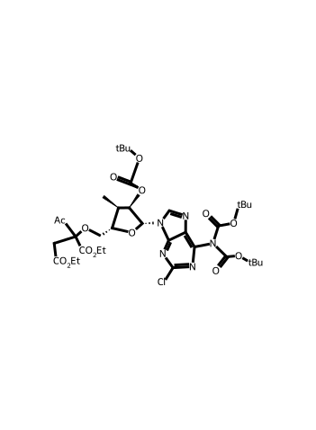 CCOC(=O)CC(OC[C@H]1O[C@@H](n2cnc3c(N(C(=O)OC(C)(C)C)C(=O)OC(C)(C)C)nc(Cl)nc32)[C@H](OC(=O)OC(C)(C)C)[C@@H]1C)(C(C)=O)C(=O)OCC